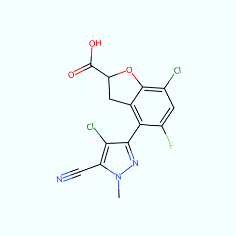 Cn1nc(-c2c(F)cc(Cl)c3c2CC(C(=O)O)O3)c(Cl)c1C#N